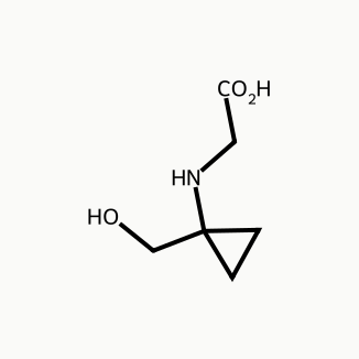 O=C(O)CNC1(CO)CC1